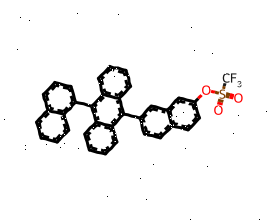 O=S(=O)(Oc1ccc2ccc(-c3c4ccccc4c(-c4cccc5ccccc45)c4ccccc34)cc2c1)C(F)(F)F